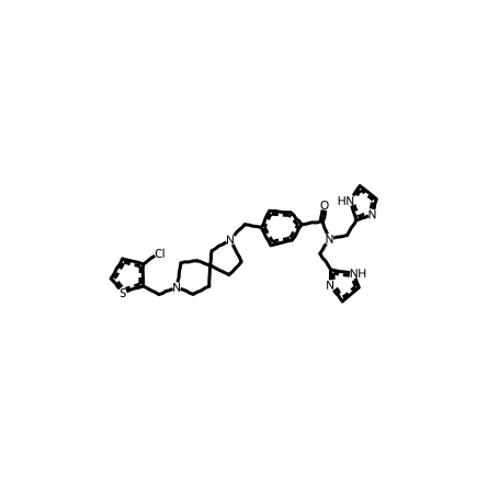 O=C(c1ccc(CN2CCC3(CCN(Cc4sccc4Cl)CC3)C2)cc1)N(Cc1ncc[nH]1)Cc1ncc[nH]1